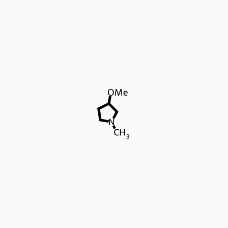 [CH2-][OH+]C1CCN(C)C1